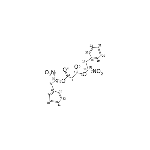 O=C(CC(=O)O[C@H](Cc1ccccc1)[N+](=O)[O-])O[C@H](Cc1ccccc1)[N+](=O)[O-]